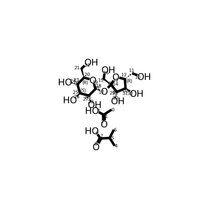 CC(=O)O.CC(C)C(=O)O.OC[C@H]1O[C@@](CO)(O[C@H]2O[C@H](CO)[C@@H](O)[C@H](O)[C@H]2O)[C@@H](O)[C@@H]1O